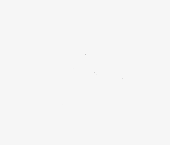 COc1cccc2c1C(NC(C)=O)=NS2(=O)=O